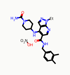 CCn1ncc2c(NC3CCN(C(N)=O)CC3)c(C(=O)NCc3ccc(C)c(C)c3)cnc21.O=[N+]([O-])O